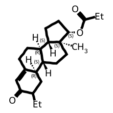 CCC(=O)O[C@H]1CC[C@H]2[C@@H]3CCC4=CC(=O)C(CC)C[C@@H]4[C@H]3CC[C@]12C